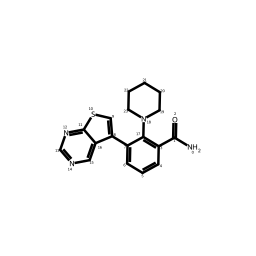 NC(=O)c1cccc(-c2csc3ncncc23)c1N1CCCCC1